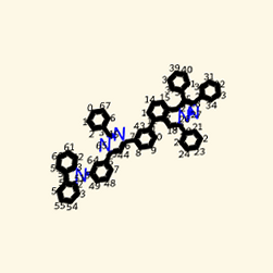 c1ccc(-c2nc(-c3cccc(-c4cccc5c4cc(-c4ccccc4)n4nc(-c6ccccc6)c(-c6ccccc6)c54)c3)cc(-c3cccc(-n4c5ccccc5c5ccccc54)c3)n2)cc1